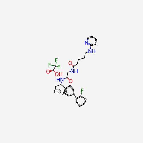 O=C(O)C(F)(F)F.O=C(O)CC(NC(=O)CNC(=O)CCCCNc1ccccn1)c1ccc(-c2ccccc2F)cc1